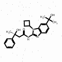 CC(C)(O)c1ccc2nc(NC(=O)C[C@](C)(O)c3ccccc3)n(C3CCC3)c2c1